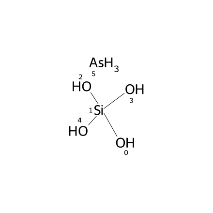 O[Si](O)(O)O.[AsH3]